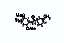 COC1=CC(=[N+]=[N-])C(OC)C=C1NC(=O)c1cccc(C)c1